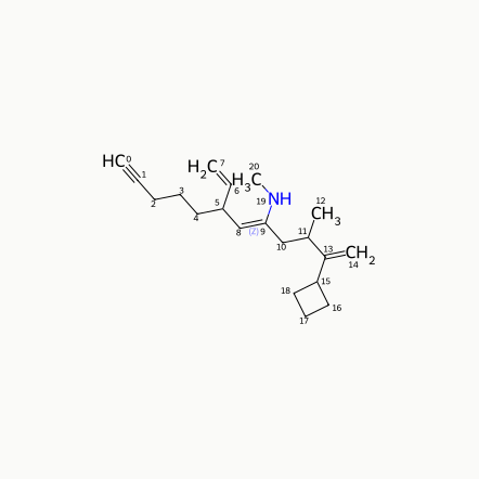 C#CCCCC(C=C)/C=C(/CC(C)C(=C)C1CCC1)NC